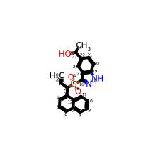 C=CC(c1cccc2ccccc12)S(=O)(=O)c1n[nH]c2ccc(C(C)O)cc12